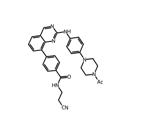 CC(=O)N1CCN(c2ccc(Nc3ncc4cccc(-c5ccc(C(=O)NCCC#N)cc5)c4n3)cc2)CC1